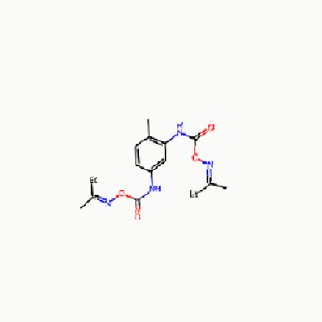 CC/C(C)=N\OC(=O)Nc1ccc(C)c(NC(=O)O/N=C(/C)CC)c1